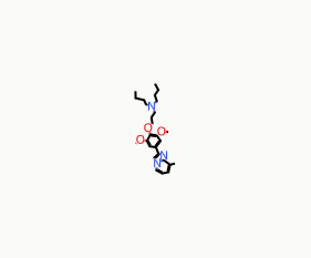 CCCCN(CCCC)CCCOc1c(OC)cc(-c2cn3cccc(C)c3n2)cc1OC